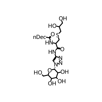 CCCCCCCCCCC(=O)NC(CSCC(O)CO)C(=O)Nc1cn([C@H]2OC(CO)C(O)C(O)C2O)nn1